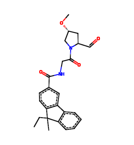 CCC1(C)c2ccccc2-c2cc(C(=O)NCC(=O)N3C[C@H](OC)CC3C=O)ccc21